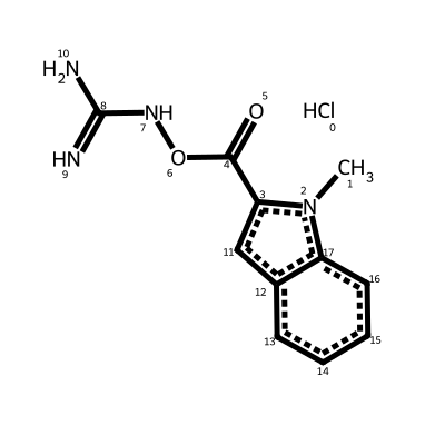 Cl.Cn1c(C(=O)ONC(=N)N)cc2ccccc21